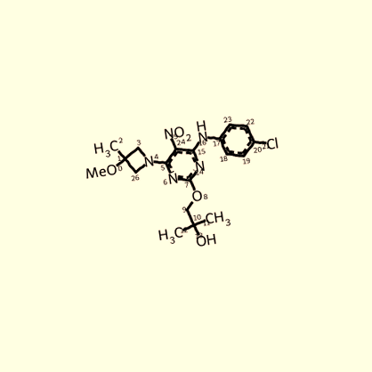 COC1(C)CN(c2nc(OCC(C)(C)O)nc(Nc3ccc(Cl)cc3)c2[N+](=O)[O-])C1